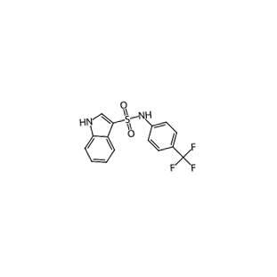 O=S(=O)(Nc1ccc(C(F)(F)F)cc1)c1c[nH]c2ccccc12